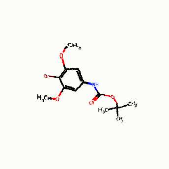 COc1cc(NC(=O)OC(C)(C)C)cc(OC)c1Br